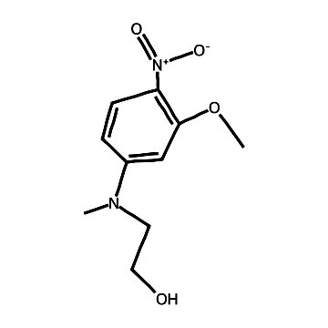 COc1cc(N(C)CCO)ccc1[N+](=O)[O-]